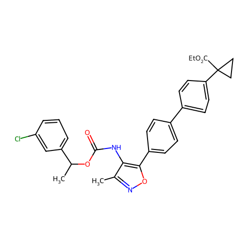 CCOC(=O)C1(c2ccc(-c3ccc(-c4onc(C)c4NC(=O)OC(C)c4cccc(Cl)c4)cc3)cc2)CC1